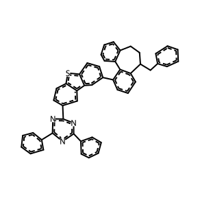 c1ccc(CC2CCc3ccccc3-c3c(-c4ccc5sc6ccc(-c7nc(-c8ccccc8)nc(-c8ccccc8)n7)cc6c5c4)cccc32)cc1